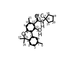 Cc1ccc2c(c1)-c1c(cc(C)c(C(=O)NC3(C(F)(F)F)CCCC3)c1O)OC2(C)C